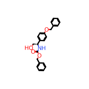 O=C(N[C@@H](CO)c1ccc(OCc2ccccc2)cc1)OCc1ccccc1